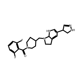 O=C(c1c(F)cccc1F)N1CCC(CN2CCC3=CC(C4C=NNC4)=CNC32)CC1